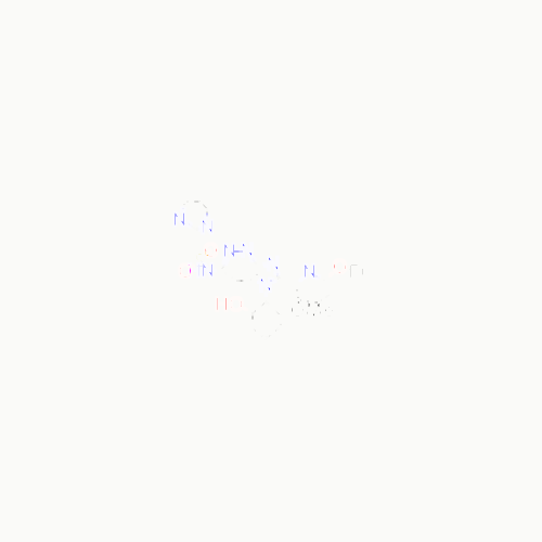 CCOC1=NC(c2nc3nnc(NS(=O)(=O)Cc4ncccn4)cc3n2-c2c(O)cccc2OC)=C=C=C1